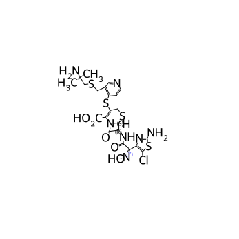 CC(C)(N)CSCc1cnccc1SC1=C(C(=O)O)N2C(=O)[C@@H](NC(=O)/C(=N\O)c3nc(N)sc3Cl)[C@@H]2SC1